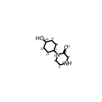 O=C1CNCCN1C1CCC(O)CC1